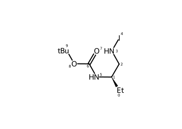 CC[C@H](CNI)NC(=O)OC(C)(C)C